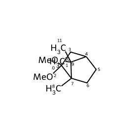 COC1(OC)CC2CCC1(C)C2(C)C